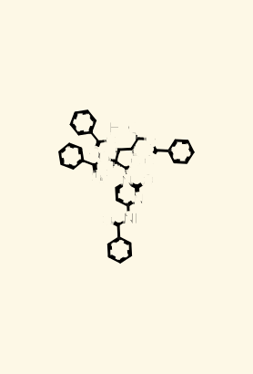 C[C@@H](OC(=O)c1ccccc1)[C@H]1O[C@@H](n2ccc(NC(=O)c3ccccc3)nc2=O)[C@](C)(OC(=O)c2ccccc2)[C@@H]1OC(=O)c1ccccc1